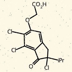 CC(C)C1(Cl)Cc2cc(OCC(=O)O)c(Cl)c(Cl)c2C1=O